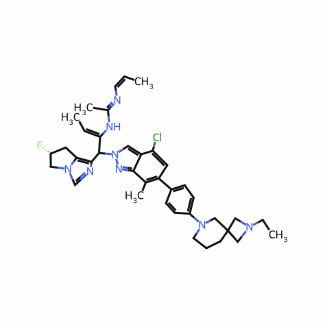 C/C=C\N=C(/C)N/C(=C\C)C(c1ncn2c1C[C@@H](F)C2)n1cc2c(Cl)cc(-c3ccc(N4CCCC5(CN(CC)C5)C4)cc3)c(C)c2n1